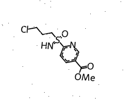 COC(=O)c1ccc(S(=N)(=O)CCCCl)nc1